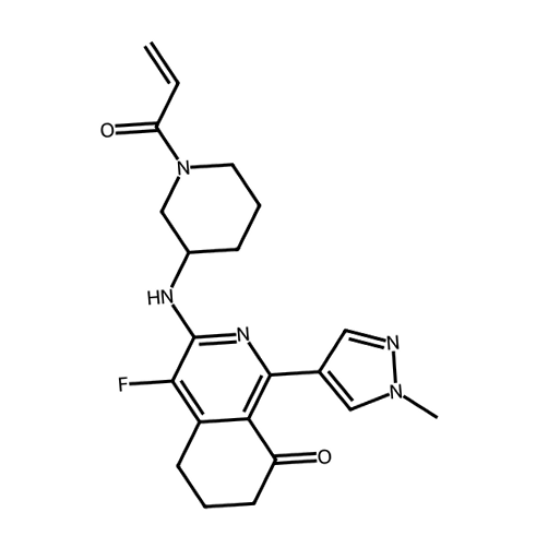 C=CC(=O)N1CCCC(Nc2nc(-c3cnn(C)c3)c3c(c2F)CCCC3=O)C1